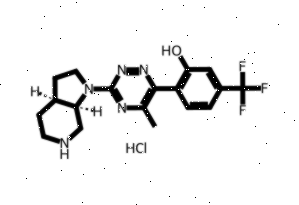 Cc1nc(N2CC[C@@H]3CCNC[C@@H]32)nnc1-c1ccc(C(F)(F)F)cc1O.Cl